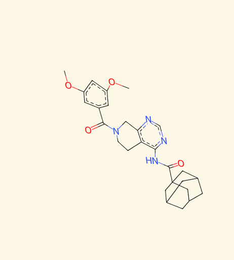 COc1cc(OC)cc(C(=O)N2CCc3c(ncnc3NC(=O)C34CC5CC(CC(C5)C3)C4)C2)c1